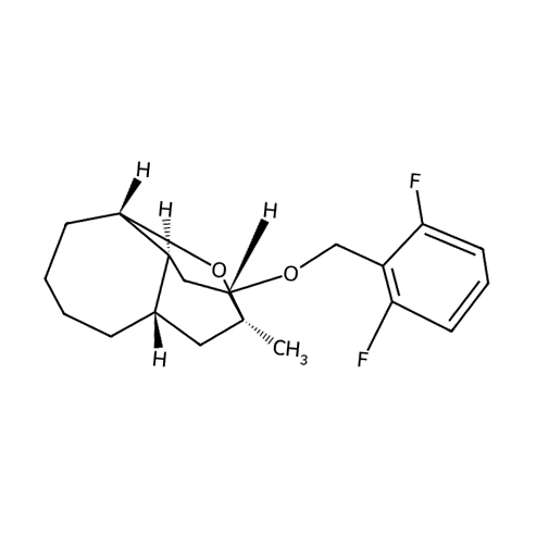 C[C@@]12C[C@@H]3CCCC[C@H](O1)[C@H]3C[C@@H]2OCc1c(F)cccc1F